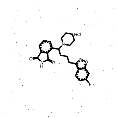 Cl.O=C1NC(=O)c2c1cccc2C(CCCc1noc2cc(F)ccc12)N1CCCCC1